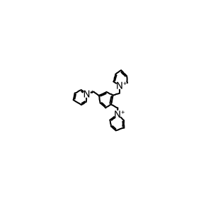 c1cc[n+](Cc2ccc(C[n+]3ccccc3)c(C[n+]3ccccc3)c2)cc1